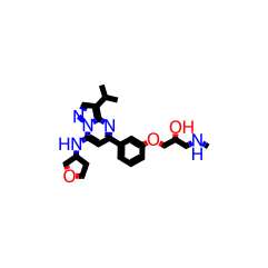 CNCC(O)COc1cccc(-c2cc(NC3CCOC3)n3ncc(C(C)C)c3n2)c1